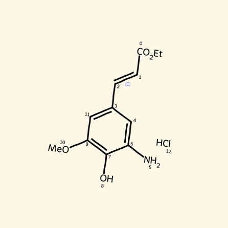 CCOC(=O)/C=C/c1cc(N)c(O)c(OC)c1.Cl